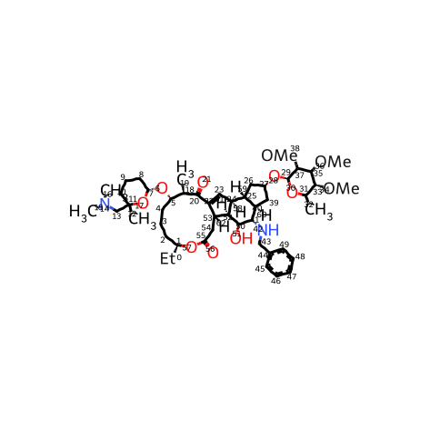 CC[C@H]1CCC[C@H](O[C@H]2CCCC(C)(CN(C)C)O2)[C@@H](C)C(=O)C2=C[C@H]3[C@@H]4C[C@H](O[C@@H]5OC(C)[C@H](OC)C(OC)C5OC)C[C@H]4[C@H](NCc4ccccc4)[C@@H](O)[C@H]3[C@@H]2CC(=O)O1